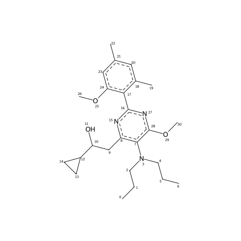 CCCN(CCC)c1c(CC(O)C2CC2)nc(-c2c(C)cc(C)cc2OC)nc1OC